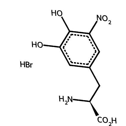 Br.N[C@@H](Cc1cc(O)c(O)c([N+](=O)[O-])c1)C(=O)O